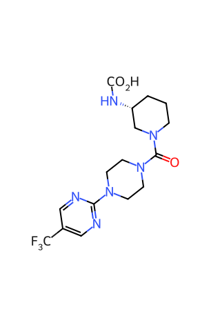 O=C(O)N[C@@H]1CCCN(C(=O)N2CCN(c3ncc(C(F)(F)F)cn3)CC2)C1